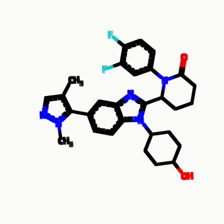 Cc1cnn(C)c1-c1ccc2c(c1)nc(C1CCCC(=O)N1c1ccc(F)c(F)c1)n2C1CCC(O)CC1